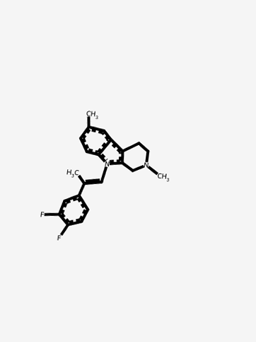 CC(=Cn1c2c(c3cc(C)ccc31)CCN(C)C2)c1ccc(F)c(F)c1